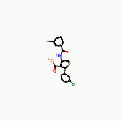 Cc1cccc(C(=O)Nc2csc(-c3cccc(Cl)c3)c2C(=O)O)c1